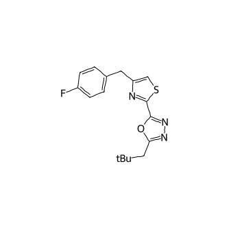 CC(C)(C)Cc1nnc(-c2nc(Cc3ccc(F)cc3)cs2)o1